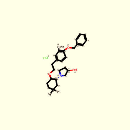 Cl.[2H]C1([2H])CCC(OCCc2ccc(OCc3ccccc3)c(OC)c2)[C@H](N2CC[C@@H](O)C2)C1